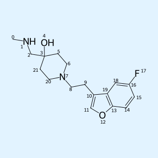 CNCC1(O)CCN(CCc2coc3ccc(F)cc23)CC1